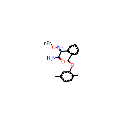 CCCO/N=C(\C(N)=O)c1ccccc1COc1cc(C)ccc1C